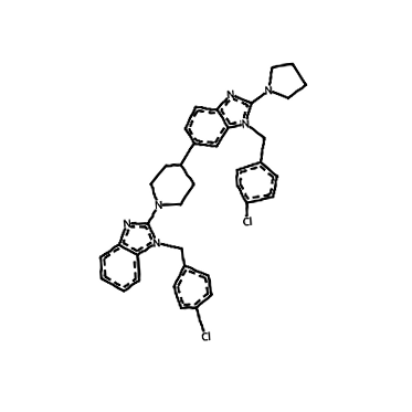 Clc1ccc(Cn2c(N3CCCC3)nc3ccc(C4CCN(c5nc6ccccc6n5Cc5ccc(Cl)cc5)CC4)cc32)cc1